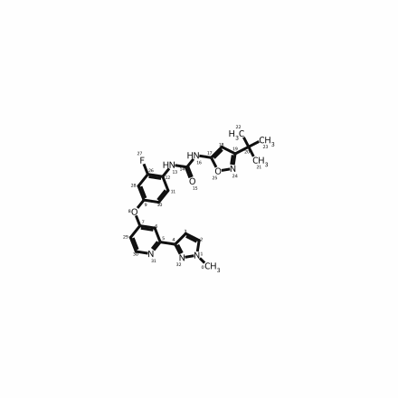 Cn1ccc(-c2cc(Oc3ccc(NC(=O)Nc4cc(C(C)(C)C)no4)c(F)c3)ccn2)n1